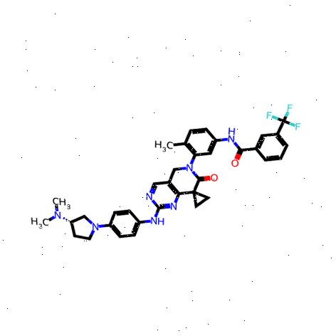 Cc1ccc(NC(=O)c2cccc(C(F)(F)F)c2)cc1N1Cc2cnc(Nc3ccc(N4CC[C@H](N(C)C)C4)cc3)nc2C2(CC2)C1=O